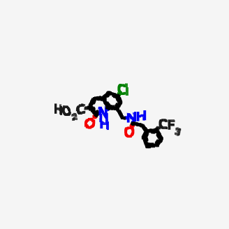 O=C(Cc1ccccc1C(F)(F)F)NCc1cc(Cl)cc2cc(C(=O)O)c(=O)[nH]c12